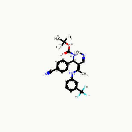 C/N=C\C(=C(/C)Nc1cccc(C(F)(F)F)c1)[C@H](NC(=O)OC(C)(C)C)c1ccc(C#N)cc1